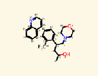 CC(O)CC(CN1CCOCC1)c1ccccc1C(F)(F)F.c1ccc2ncccc2c1